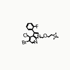 C[Si](C)(C)CCOCn1cc(-c2ccccc2F)c2c(Cl)c(Br)cnc21